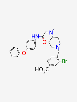 CN(CC(=O)Nc1ccc(Oc2ccccc2)cc1)C1CCN(Cc2ccc(C(=O)O)cc2Br)CC1